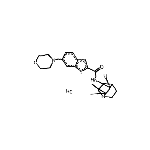 CC1(C)[C@H](NC(=O)c2cc3ccc(N4CCOCC4)cc3s2)C2CCN1CC2.Cl